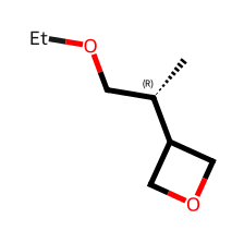 CCOC[C@H](C)C1COC1